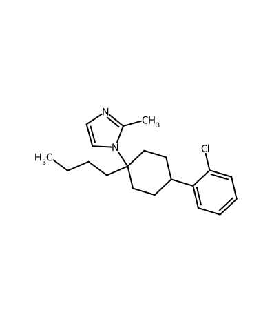 CCCCC1(n2ccnc2C)CCC(c2ccccc2Cl)CC1